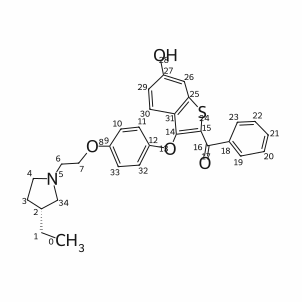 CC[C@@H]1CCN(CCOc2ccc(Oc3c(C(=O)c4ccccc4)sc4cc(O)ccc34)cc2)C1